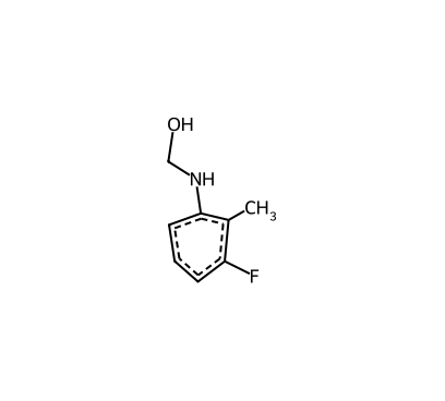 Cc1c(F)cccc1NCO